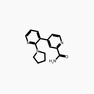 NC(=O)c1cc(-c2cccnc2N2CCCC2)ccn1